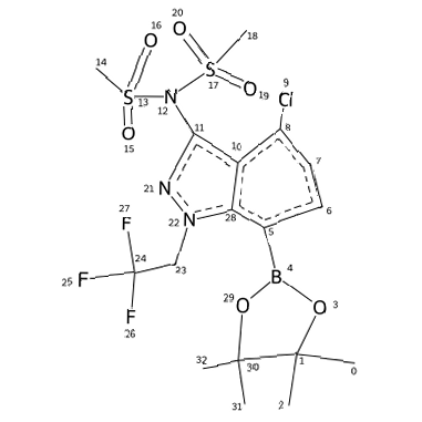 CC1(C)OB(c2ccc(Cl)c3c(N(S(C)(=O)=O)S(C)(=O)=O)nn(CC(F)(F)F)c23)OC1(C)C